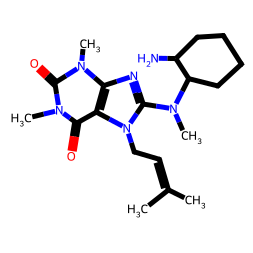 CC(C)=CCn1c(N(C)C2CCCCC2N)nc2c1c(=O)n(C)c(=O)n2C